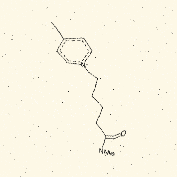 CNC(=O)CCCC[n+]1ccc(C)cc1